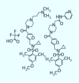 COc1cc(C)c(S(=O)(=O)N(Cc2cc(C(=O)N3CCN(CC(=O)Nc4cccnc4)CC3)co2)C2CC2)c(C)c1.COc1cc(C)c(S(=O)(=O)N(Cc2cc(C(=O)N3CCN(CCCN(C)C)CC3)co2)C2CC2)c(C)c1.O=C(O)C(F)(F)F